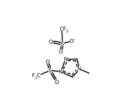 Cn1cn[n+](S(=O)(=O)C(F)(F)F)c1.O=S(=O)([O-])C(F)(F)F